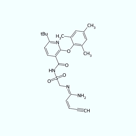 C#C/C=C\C(N)=N/CS(=O)(=O)NC(=O)c1ccc(C(C)(C)C)nc1Oc1c(C)cc(C)cc1C